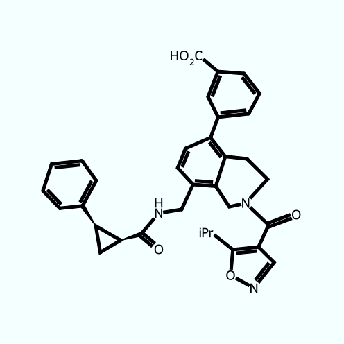 CC(C)c1oncc1C(=O)N1CCc2c(-c3cccc(C(=O)O)c3)ccc(CNC(=O)[C@H]3C[C@H]3c3ccccc3)c2C1